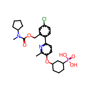 Cc1nc(-c2ccc(Cl)cc2COC(=O)N(C)C2CCCC2)ccc1OC1CCCC(P(=O)(O)O)C1